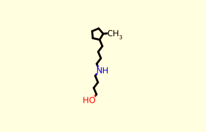 CC1CCCC1CCCCNCCCCO